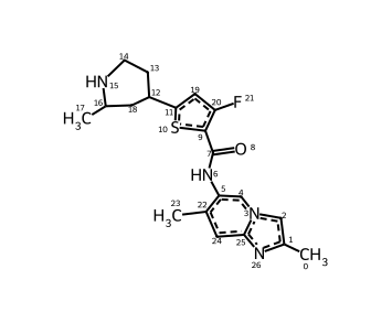 Cc1cn2cc(NC(=O)c3sc(C4CCNC(C)C4)cc3F)c(C)cc2n1